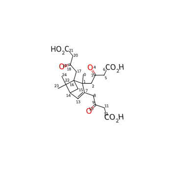 CC1(CC(=O)CC(=O)O)C(CC(=O)CC(=O)O)=CC2CC1(CC(=O)CC(=O)O)C2(C)C